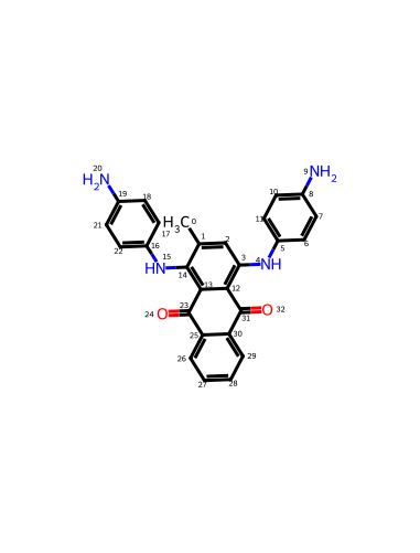 Cc1cc(Nc2ccc(N)cc2)c2c(c1Nc1ccc(N)cc1)C(=O)c1ccccc1C2=O